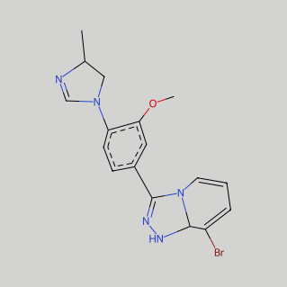 COc1cc(C2=NNC3C(Br)=CC=CN23)ccc1N1C=NC(C)C1